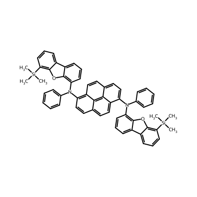 C[Si](C)(C)c1cccc2c1oc1c(N(c3ccccc3)c3ccc4ccc5c(N(c6ccccc6)c6cccc7c6oc6c([Si](C)(C)C)cccc67)ccc6ccc3c4c65)cccc12